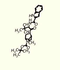 CC1C2CN(C(=O)[C@@H](NC(=O)c3cc4ccccc4[nH]3)C(C)(C)C)C1CN2C(=O)OC(C)(C)C